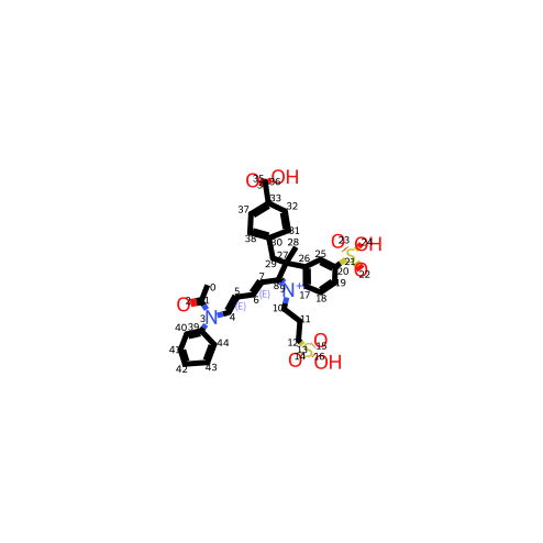 CC(=O)N(/C=C/C=C/C1=[N+](CCCS(=O)(=O)O)c2ccc(S(=O)(=O)O)cc2C1(C)Cc1ccc(C(=O)O)cc1)c1ccccc1